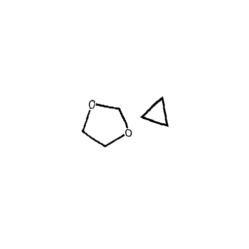 C1CC1.C1COCO1